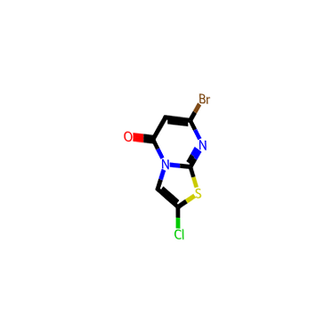 O=c1cc(Br)nc2sc(Cl)cn12